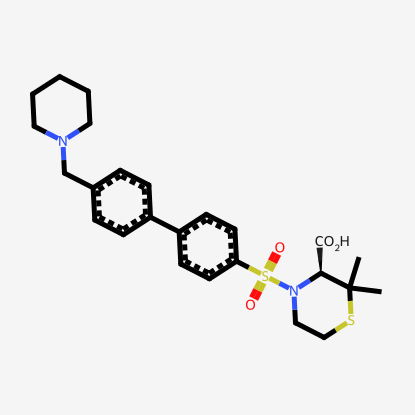 CC1(C)SCCN(S(=O)(=O)c2ccc(-c3ccc(CN4CCCCC4)cc3)cc2)[C@H]1C(=O)O